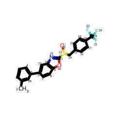 Cc1cccc(-c2ccc3oc([S+]([O-])Cc4ccc(C(F)(F)F)cc4)nc3c2)c1